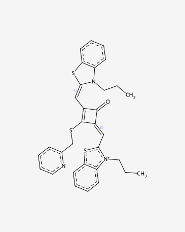 CCCN1/C(=C\C2=C(SCc3ccccn3)C(=C\c3sc4ccccc4[n+]3CCC)/C2=O)Sc2ccccc21